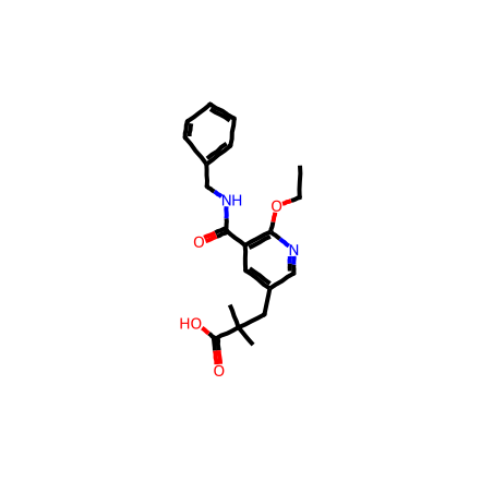 CCOc1ncc(CC(C)(C)C(=O)O)cc1C(=O)NCc1ccccc1